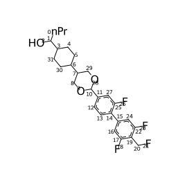 CCCC(O)C1CCC(C2COC(c3ccc(-c4cc(F)c(CF)c(F)c4)c(F)c3)OC2)CC1